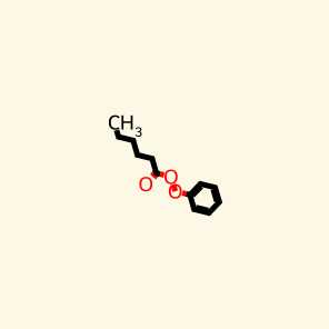 CCCCCC(=O)OOc1ccccc1